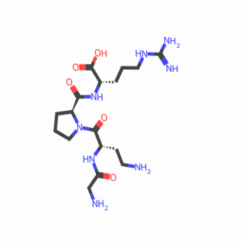 N=C(N)NCCC[C@H](NC(=O)[C@@H]1CCCN1C(=O)[C@H](CCN)NC(=O)CN)C(=O)O